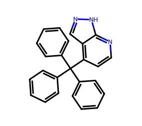 c1ccc(C(c2ccccc2)(c2ccccc2)c2ccnc3[nH]ncc23)cc1